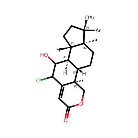 CC(=O)O[C@]1(C(C)=O)CC[C@H]2[C@@H]3C(O)C(Cl)C4=CC(=O)OC[C@]4(C)[C@H]3CC[C@@]21C